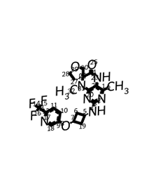 Cc1nc(N[C@H]2C[C@H](Oc3ccc(C(F)(F)F)nc3)C2)nc2c1NC(=O)[C@@]1(CCOC1)N2C